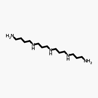 NCCCCNCCCNCCCNCCCN